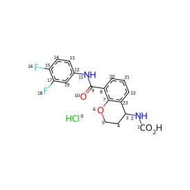 Cl.O=C(O)NC1CCOc2c(C(=O)Nc3ccc(F)c(F)c3)cccc21